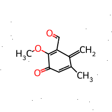 C=C1C(C)=CC(=O)C(OC)=C1C=O